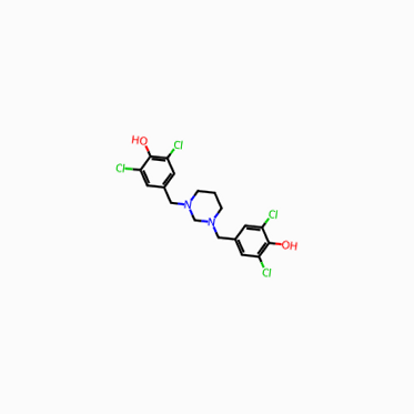 Oc1c(Cl)cc(CN2CCCN(Cc3cc(Cl)c(O)c(Cl)c3)C2)cc1Cl